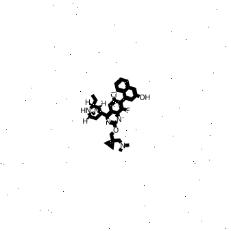 CC[C@H]1N[C@H]2CC[C@@H]1N(c1nc(OCC3(CN(C)C)CC3)nc3c(F)c(-c4cc(O)cc5ccccc45)c(Cl)cc13)C2